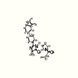 Cc1sc2ccc(-c3ccc(C4=NC5(CC5)C(=O)N4C[C@@H]4CCN(C(=O)C5CC5)C4)cc3)cc2c1C